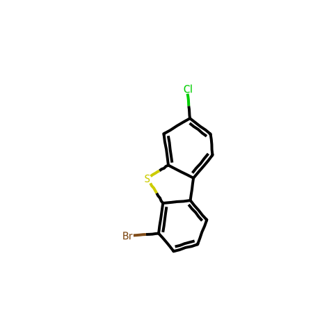 Clc1ccc2c(c1)sc1c(Br)cccc12